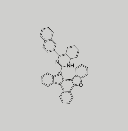 C1=CC2=C(c3ccc4ccccc4c3)N=C(n3c4ccccc4c4c5ccccc5c5oc6ccccc6c5c43)NC2C=C1